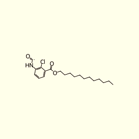 CCCCCCCCCCCCOC(=O)c1cccc(N[C]=O)c1Cl